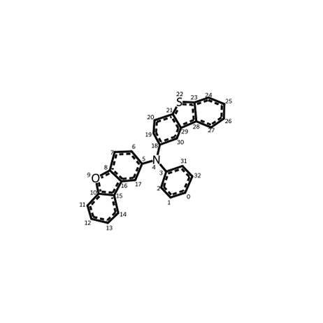 c1ccc(N(c2ccc3oc4ccccc4c3c2)c2ccc3sc4ccccc4c3c2)cc1